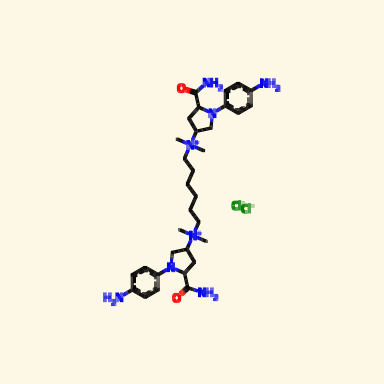 C[N+](C)(CCCCCC[N+](C)(C)C1CC(C(N)=O)N(c2ccc(N)cc2)C1)C1CC(C(N)=O)N(c2ccc(N)cc2)C1.[Cl-].[Cl-]